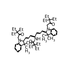 CCC(CC)(CC)C(=O)CN1/C(=C/C=C/C(=C/C=C/C2N(CC(=O)C(CC)(CC)CC)c3ccccc3C2(C)C)NC(=O)C(CC)(CC)CC)C(C)(C)c2ccccc21